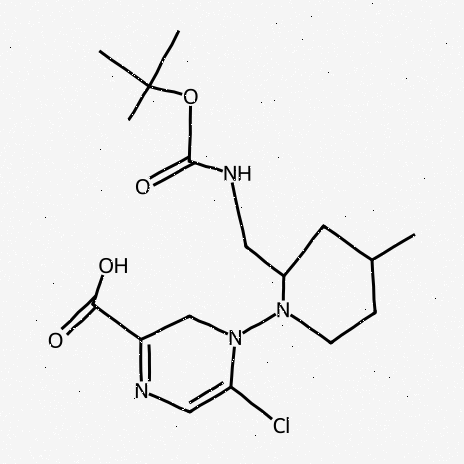 CC1CCN(N2CC(C(=O)O)=NC=C2Cl)C(CNC(=O)OC(C)(C)C)C1